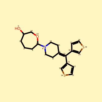 OC1CCCC(N2CCC(=C(c3ccsc3)c3ccsc3)CC2)OC1